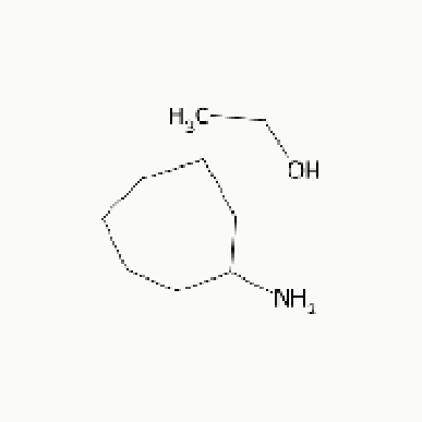 CCO.NC1CCCCCC1